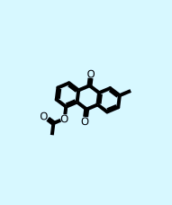 CC(=O)Oc1cccc2c1C(=O)c1ccc(C)cc1C2=O